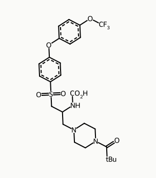 CC(C)(C)C(=O)N1CCN(CC(CS(=O)(=O)c2ccc(Oc3ccc(OC(F)(F)F)cc3)cc2)NC(=O)O)CC1